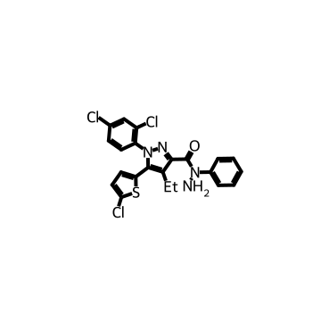 CCc1c(C(=O)N(N)c2ccccc2)nn(-c2ccc(Cl)cc2Cl)c1-c1ccc(Cl)s1